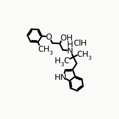 Cc1ccccc1OCC(O)CNC(C)(C)Cc1c[nH]c2ccccc12.Cl